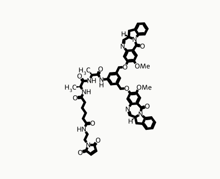 COc1cc2c(cc1OCc1cc(COc3cc4c(cc3OC)C(=O)N3c5ccccc5C[C@H]3C=N4)cc(NC(=O)[C@H](C)NC(=O)[C@H](C)NC(=O)CCCCC(=O)NCCN3C(=O)C=CC3=O)c1)N=C[C@@H]1Cc3ccccc3N1C2=O